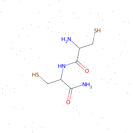 NC(=O)C(CS)NC(=O)C(N)CS